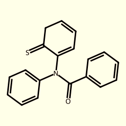 O=C(c1ccccc1)N(C1=CC=CCC1=S)c1ccccc1